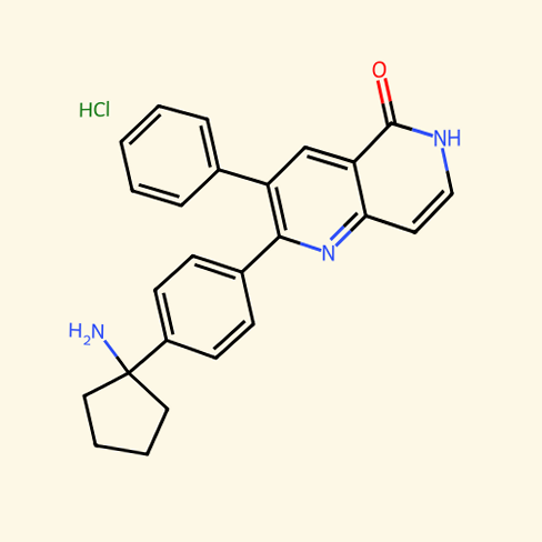 Cl.NC1(c2ccc(-c3nc4cc[nH]c(=O)c4cc3-c3ccccc3)cc2)CCCC1